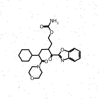 NC(=O)OCCC(CC(C(=O)N1CCOCC1)C1CCCCC1)C(=O)c1nc2ccccc2o1